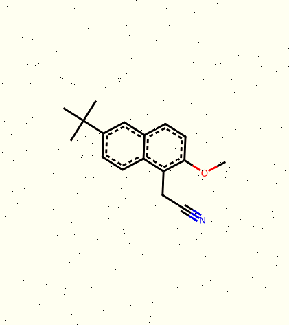 COc1ccc2cc(C(C)(C)C)ccc2c1CC#N